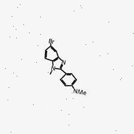 CNc1ccc(-c2nc3cc(Br)ccc3n2C)cc1